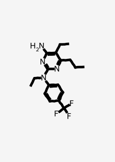 CCCc1nc(N(CC)c2ccc(C(F)(F)F)cc2)nc(N)c1CC